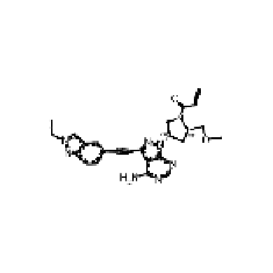 C=CC(=O)N1C[C@@H](n2nc(C#Cc3ccc4nn(CC)cc4c3)c3c(N)ncnc32)C[C@@H]1COC